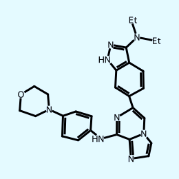 CCN(CC)c1n[nH]c2cc(-c3cn4ccnc4c(Nc4ccc(N5CCOCC5)cc4)n3)ccc12